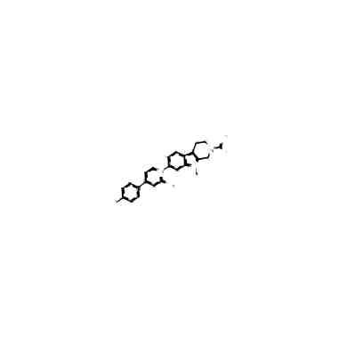 Cn1c2c(c3ccc(-n4ccc(-c5ccc(Cl)cc5)cc4=O)cc31)CCN(C(=O)O)C2